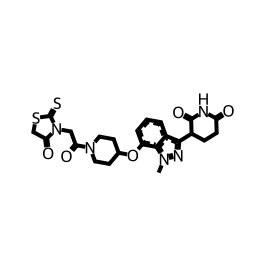 Cn1nc(C2CCC(=O)NC2=O)c2cccc(OC3CCN(C(=O)CN4C(=O)CSC4=S)CC3)c21